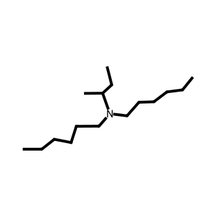 CCCCCCN(CCCCCC)C(C)CC